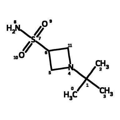 CC(C)(C)N1CC(S(N)(=O)=O)C1